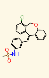 CS(=O)(=O)Nc1cccc(C=C2c3ccccc3OCc3c(Cl)cccc32)c1